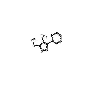 CCCCSc1nnc(-c2cnccn2)n1C